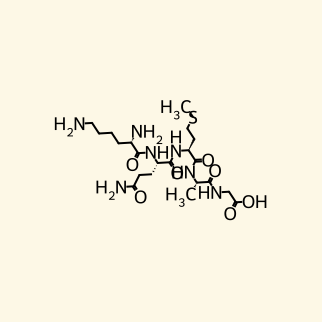 CSCC[C@H](NC(=O)[C@H](CCC(N)=O)NC(=O)[C@@H](N)CCCCN)C(=O)N[C@@H](C)C(=O)NCC(=O)O